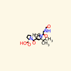 C/C(=C\[C@H](C(C)C)N(C)C(=O)CNC=O)C(=O)N1CCC[C@H]1C(=O)O